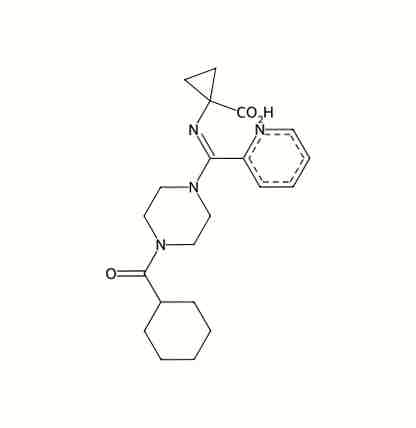 O=C(C1CCCCC1)N1CCN(/C(=N/C2(C(=O)O)CC2)c2ccccn2)CC1